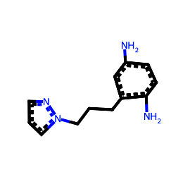 Nc1ccc(N)c(CCCn2cccn2)c1